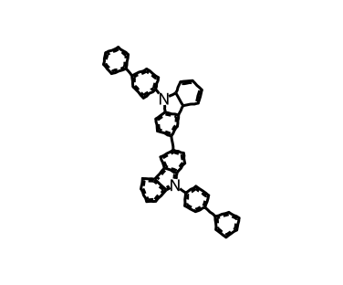 C1=CC2c3cc(-c4ccc5c(c4)c4ccccc4n5-c4ccc(-c5ccccc5)cc4)ccc3N(c3ccc(-c4ccccc4)cc3)C2C=C1